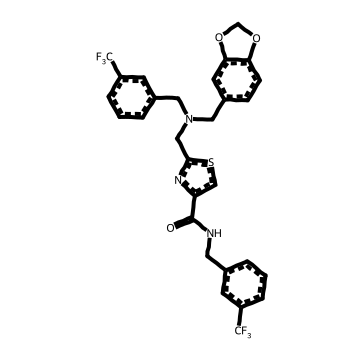 O=C(NCc1cccc(C(F)(F)F)c1)c1csc(CN(Cc2cccc(C(F)(F)F)c2)Cc2ccc3c(c2)OCO3)n1